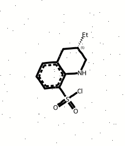 CC[C@@H]1CNc2c(cccc2S(=O)(=O)Cl)C1